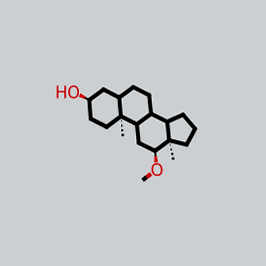 CO[C@H]1CC2C(CCC3C[C@H](O)CC[C@@]32C)C2CCC[C@]21C